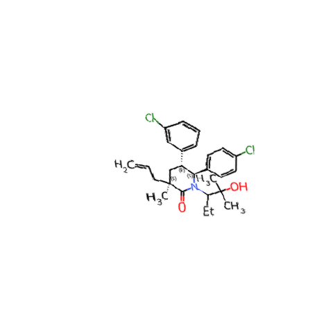 C=CC[C@@]1(C)C[C@H](c2cccc(Cl)c2)[C@@H](c2ccc(Cl)cc2)N(C(CC)C(C)(C)O)C1=O